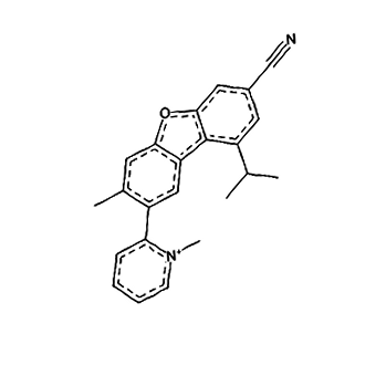 Cc1cc2oc3cc(C#N)cc(C(C)C)c3c2cc1-c1cccc[n+]1C